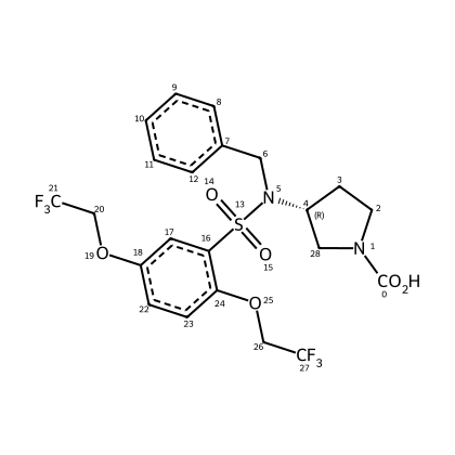 O=C(O)N1CC[C@@H](N(Cc2ccccc2)S(=O)(=O)c2cc(OCC(F)(F)F)ccc2OCC(F)(F)F)C1